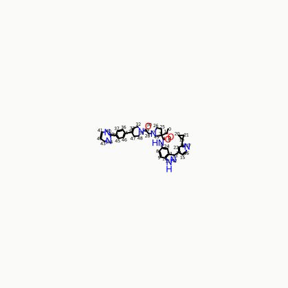 CC(=O)C1(C(=O)Nc2ccc3[nH]nc(-c4ccnc(C5CC5)c4)c3c2)CCN(CC(=O)N2CC=C(c3ccc(-c4ncccn4)cc3)CC2)C1